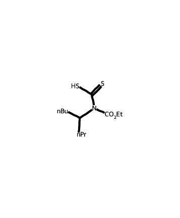 CCCCC(CCC)N(C(=O)OCC)C(=S)S